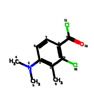 Cc1c(N(C)C)ccc(C(=O)Cl)c1Cl